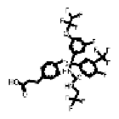 O=C(O)CCc1ccc(C[C@](NC(=O)NCC(F)(F)F)(c2cc(F)cc(OC(F)(F)C(F)F)c2)c2ccc(F)c(C(F)(F)F)c2)cc1